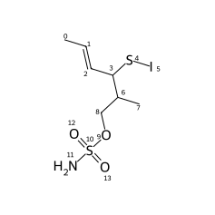 CC=CC(SI)C(C)COS(N)(=O)=O